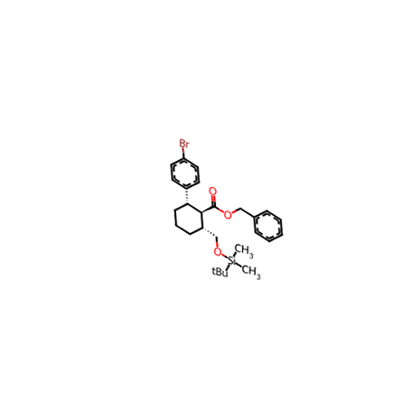 CC(C)(C)[Si](C)(C)OC[C@@H]1CCC[C@H](c2ccc(Br)cc2)[C@H]1C(=O)OCc1ccccc1